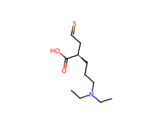 CCN(CC)CCC[C@H](CC=S)C(=O)O